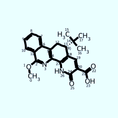 COc1nc2c(c3ccccc13)C[C@H](C(C)(C)C)c1cc(C(=O)O)c(=O)[nH]c1-2